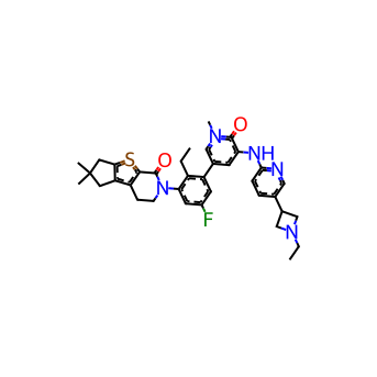 CCc1c(-c2cc(Nc3ccc(C4CN(CC)C4)cn3)c(=O)n(C)c2)cc(F)cc1N1CCc2c(sc3c2CC(C)(C)C3)C1=O